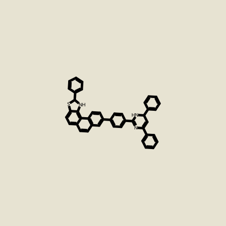 C1=C(c2ccccc2)N=C(c2ccc(-c3ccc4c(ccc5ccc6c(c54)NC(c4ccccc4)S6)c3)cc2)NC1c1ccccc1